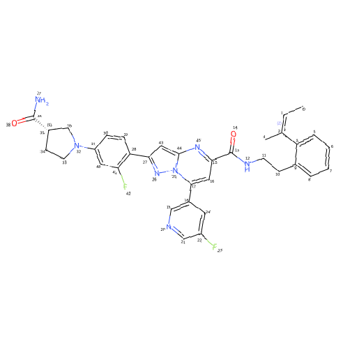 C/C=C(/C)c1ccccc1CCNC(=O)c1cc(-c2cncc(F)c2)n2nc(-c3ccc(N4CC[C@H](C(N)=O)C4)cc3F)cc2n1